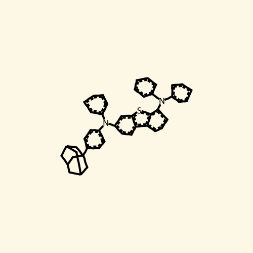 c1ccc(N(c2ccc(C34CC5CC(CC(C5)C3)C4)cc2)c2ccc3c(c2)sc2c(N(c4ccccc4)c4ccccc4)cccc23)cc1